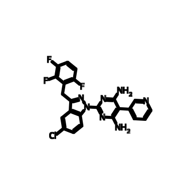 Nc1nc(-n2nc(Cc3c(F)ccc(F)c3F)c3cc(Cl)ccc32)nc(N)c1-c1cccnc1